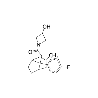 CC1CC2CCC(C1)C2(CC(=O)N1CC(O)C1)c1ccc(F)cc1